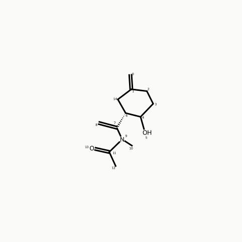 C=C1CCC(O)[C@H](C(=C)N(C)C(C)=O)C1